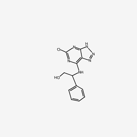 OCC(Nc1nc(Cl)nc2[nH]nnc12)c1ccccc1